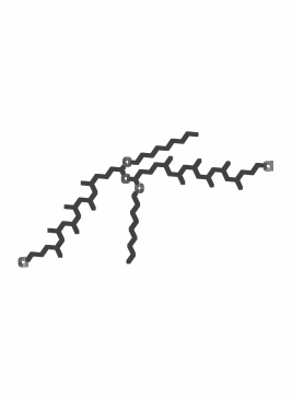 CCCCCCCCCOC(CCCC(C)CC(C)CC(C)CC(C)CC(C)CC(C)CCCCl)OC(CCCC(C)CC(C)CC(C)CC(C)CC(C)CC(C)CCCCl)OCCCCCCCCC